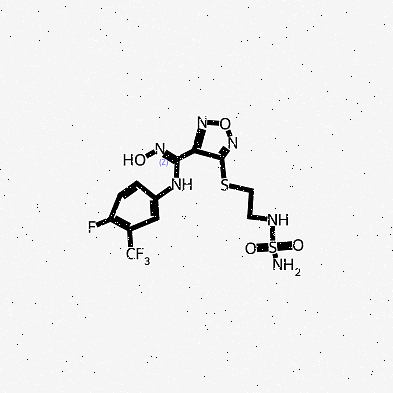 NS(=O)(=O)NCCSc1nonc1/C(=N/O)Nc1ccc(F)c(C(F)(F)F)c1